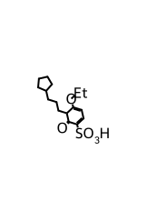 CCOC1=CC=C(S(=O)(=O)O)C(=O)C1CCCC1CCCC1